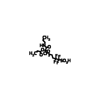 C=CCNC(=O)C(OCCCC(F)(F)C(F)(F)S(=O)(=O)O)(OC(=O)C=C)C(F)(F)F